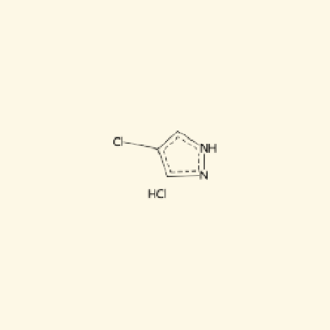 Cl.Clc1cn[nH]c1